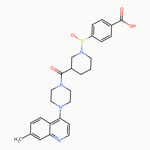 Cc1ccc2c(N3CCN(C(=O)C4CCCN([S+]([O-])c5ccc(C(=O)O)cc5)C4)CC3)ccnc2c1